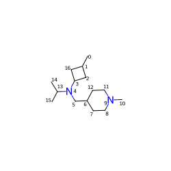 CC1CC(N(CC2CCN(C)CC2)C(C)C)C1